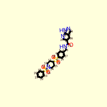 O=C(NCc1ccc(S(=O)(=O)C2CCN(S(=O)(=O)c3ccccc3)CC2)cc1)c1cnc2[nH]ncc2c1